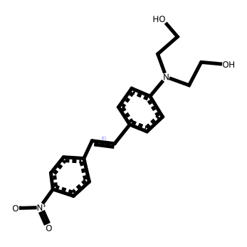 O=[N+]([O-])c1ccc(/C=C/c2ccc(N(CCO)CCO)cc2)cc1